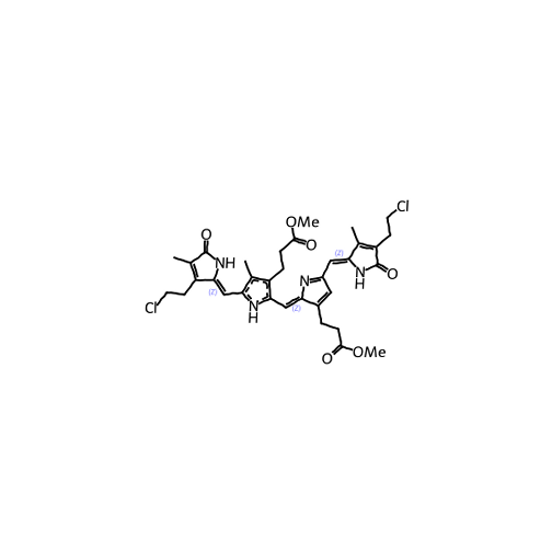 COC(=O)CCC1=CC(/C=C2\NC(=O)C(CCCl)=C2C)=NC/1=C\c1[nH]c(/C=C2\NC(=O)C(C)=C2CCCl)c(C)c1CCC(=O)OC